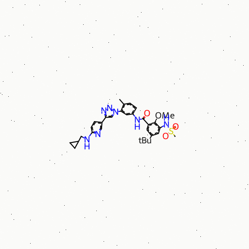 COc1c(NS(C)(=O)=O)cc(C(C)(C)C)cc1C(=O)Nc1ccc(C)c(-n2cc(-c3ccc(NCC4CC4)nc3)nn2)c1